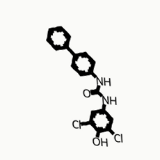 O=C(Nc1ccc(-c2ccccc2)cc1)Nc1cc(Cl)c(O)c(Cl)c1